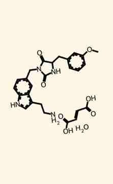 COc1cccc(CC2NC(=O)N(Cc3ccc4[nH]cc(CCN)c4c3)C2=O)c1.O.O=C(O)C=CC(=O)O